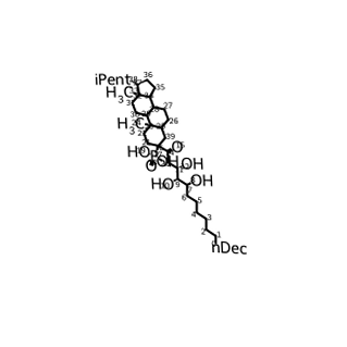 CCCCCCCCCCCCCCCCC(O)[C@@H](O)[C@@H](O)CC(=O)C1(P(=O)(O)O)CC[C@@]2(C)C(CCC3C2CC[C@@]2(C)C3CC[C@@H]2[C@H](C)CCC)C1